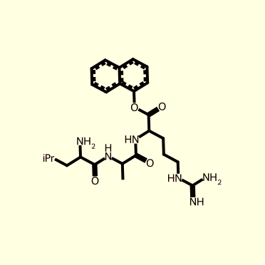 CC(C)CC(N)C(=O)NC(C)C(=O)NC(CCCNC(=N)N)C(=O)Oc1cccc2ccccc12